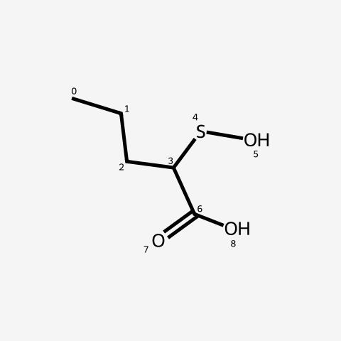 CCCC(SO)C(=O)O